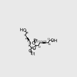 CCOC(CCC#CCCO)OC(CCC#CCCO)OCC